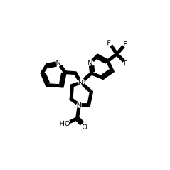 O=C(O)N1CC[N+](Cc2ccccn2)(c2ccc(C(F)(F)F)cn2)CC1